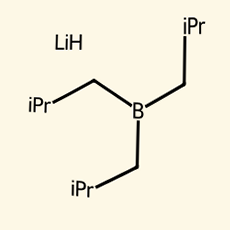 CC(C)CB(CC(C)C)CC(C)C.[LiH]